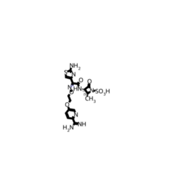 C[C@H]1[C@H](NC(=O)/C(=N\OCCOc2ccc(C(=N)N)nc2)c2csc(N)n2)C(=O)N1S(=O)(=O)O